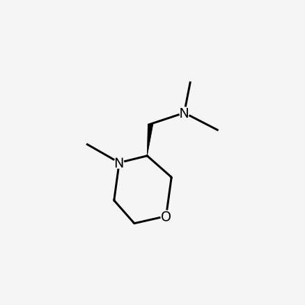 CN(C)C[C@H]1COCCN1C